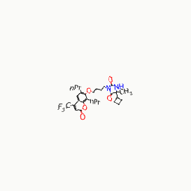 CCCc1cc2c(C(F)(F)F)cc(=O)oc2c(CCC)c1OCCCCN1C(=O)NC(C)(C2CCC2)C1=O